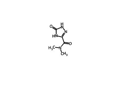 CN(C)C(=O)c1n[nH]c(=O)[nH]1